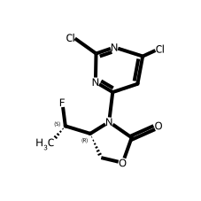 C[C@H](F)[C@H]1COC(=O)N1c1cc(Cl)nc(Cl)n1